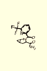 NC(=O)C1CC2CC2N1C(=O)c1cccc(C(F)(F)F)n1